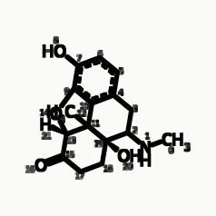 CNC1Cc2ccc(O)c3c2C2(C)[C@@H](O3)C(=O)CC[C@@]12O